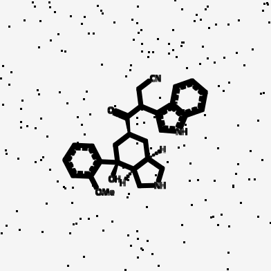 COc1ccccc1[C@]1(O)C[C@@H](C(=O)C(CC#N)c2c[nH]c3ccccc23)C[C@H]2CNC[C@H]21